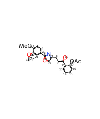 COc1ccc(-c2nc(CCC(=O)c3ccccc3OC(C)=O)co2)cc1OC(C)C